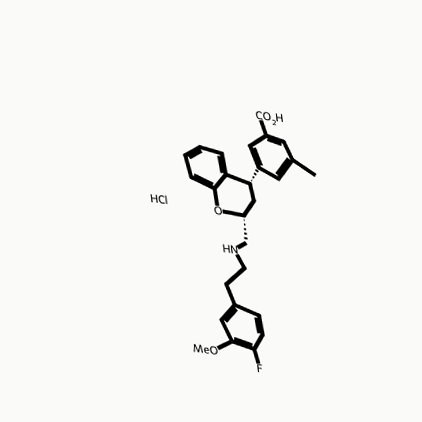 COc1cc(CCNC[C@H]2C[C@@H](c3cc(C)cc(C(=O)O)c3)c3ccccc3O2)ccc1F.Cl